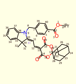 CC(C)OC(=O)c1ccc(CN2/C(=C/C=C3C(=O)OC4(OC3=O)C3CC5CC(C3)CC4C5)C(C)(C)c3ccccc32)cc1